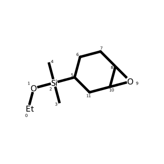 CCO[Si](C)(C)C1CCC2OC2C1